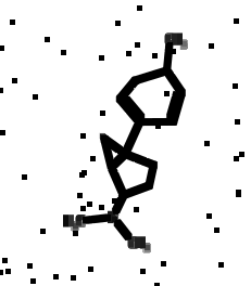 CC1C=CC(C23CCC(N(C)C)C2C3)=CC1